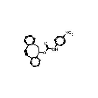 O=C(Nc1ccc([N+](=O)[O-])cc1)OC1Cc2ccccc2C#Cc2ccccc21